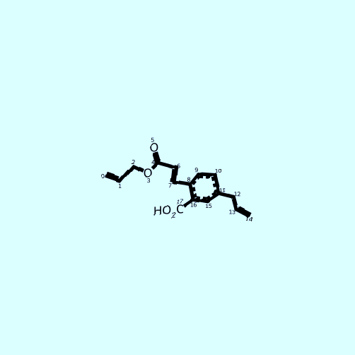 C=CCOC(=O)C=Cc1ccc(CC=C)cc1C(=O)O